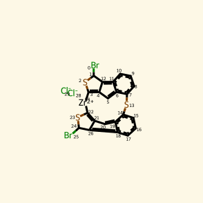 BrC1S[C]2=C3C=c4c(cccc4=C31)Sc1cccc3c1=CC1=[C](SC(Br)C=31)[Zr+2]2.[Cl-].[Cl-]